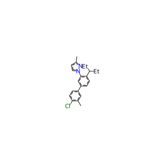 CCC(CC)c1ccc(-c2ccc(Cl)c(C)c2)cc1-n1ccc(C)n1